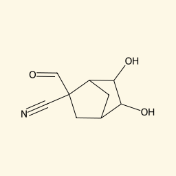 N#CC1(C=O)CC2CC1C(O)C2O